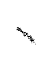 Cc1csc(-c2nc(COc3ccc(CCCCn4ccnc4)cc3)co2)c1